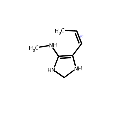 C/C=C\C1=C(NC)NCN1